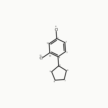 Clc1ccc([C]2CCCC2)c(Cl)c1